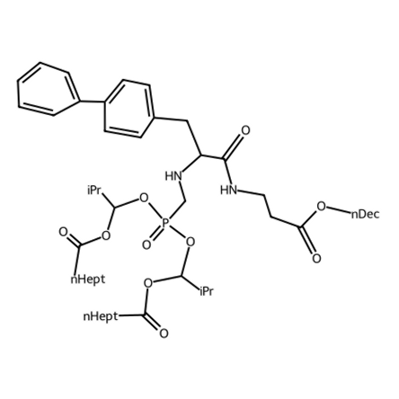 CCCCCCCCCCOC(=O)CCNC(=O)C(Cc1ccc(-c2ccccc2)cc1)NCP(=O)(OC(OC(=O)CCCCCCC)C(C)C)OC(OC(=O)CCCCCCC)C(C)C